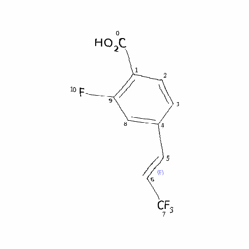 O=C(O)c1ccc(/C=C/C(F)(F)F)cc1F